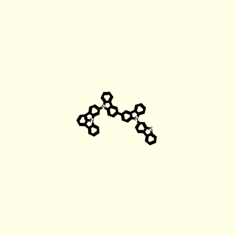 c1ccc2c(c1)sc1cc(-n3c4ccccc4c4cc(-c5ccc6c(c5)c5ccccc5n6-c5ccc6c7cccc8c9ccccc9n(c6c5)c87)ccc43)ccc12